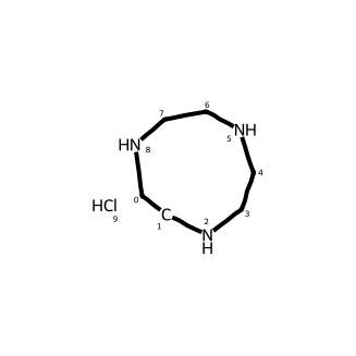 C1CNCCNCCN1.Cl